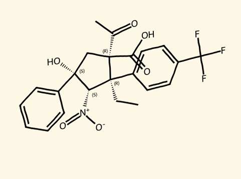 CC[C@]1(c2ccc(C(F)(F)F)cc2)[C@H]([N+](=O)[O-])[C@@](O)(c2ccccc2)C[C@@]1(C(C)=O)C(=O)O